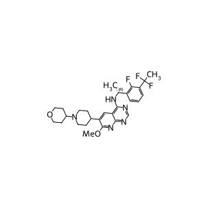 COc1nc2ncnc(N[C@H](C)c3cccc(C(C)(F)F)c3F)c2cc1C1CCN(C2CCOCC2)CC1